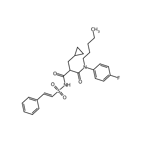 CCCCCN(C(=O)C(CC1CC1)C(=O)NS(=O)(=O)C=Cc1ccccc1)c1ccc(F)cc1